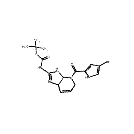 CC(C)(C)OC(=O)NC1=NC2C=CCN(C(=O)c3cc(Br)c[nH]3)C2N1